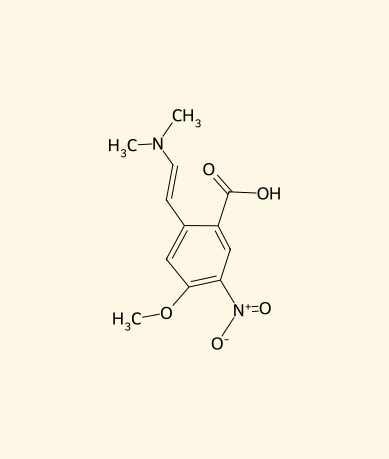 COc1cc(/C=C/N(C)C)c(C(=O)O)cc1[N+](=O)[O-]